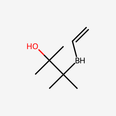 C=CBC(C)(C)C(C)(C)O